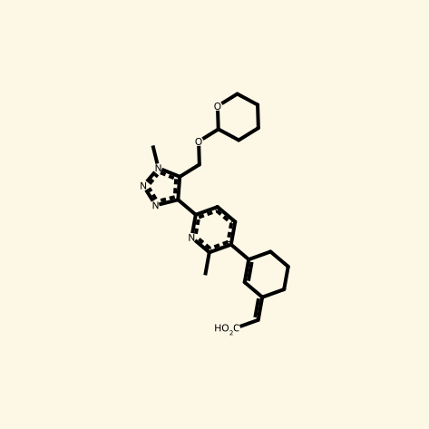 Cc1nc(-c2nnn(C)c2COC2CCCCO2)ccc1C1=CC(=CC(=O)O)CCC1